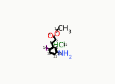 CCOC(=O)CCc1cc(N)ccc1I.Cl